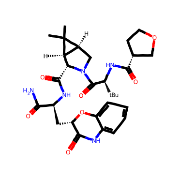 CC(C)(C)[C@H](NC(=O)[C@@H]1CCOC1)C(=O)N1C[C@H]2[C@@H]([C@H]1C(=O)N[C@@H](C[C@@H]1Oc3ccccc3NC1=O)C(N)=O)C2(C)C